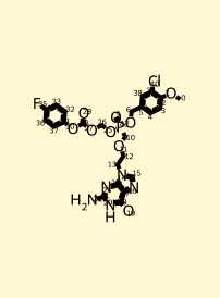 COc1ccc(COP(=O)(COCCn2cnc3c(=O)[nH]c(N)nc32)OCOC(=O)Oc2ccc(F)cc2)cc1Cl